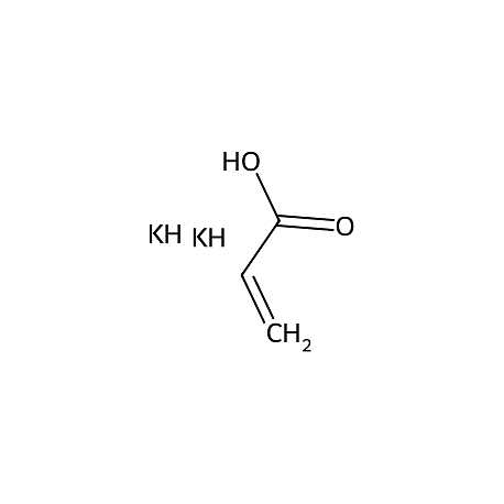 C=CC(=O)O.[KH].[KH]